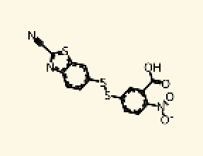 N#Cc1nc2ccc(SSc3ccc([N+](=O)[O-])c(C(=O)O)c3)cc2s1